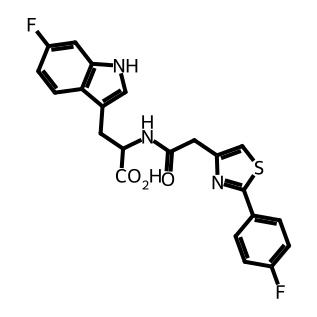 O=C(Cc1csc(-c2ccc(F)cc2)n1)NC(Cc1c[nH]c2cc(F)ccc12)C(=O)O